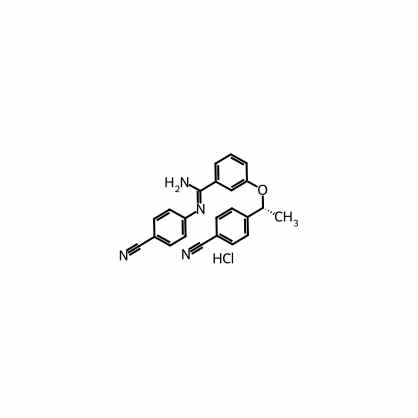 C[C@@H](Oc1cccc(/C(N)=N/c2ccc(C#N)cc2)c1)c1ccc(C#N)cc1.Cl